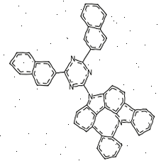 c1ccc2cc(-c3nc(-c4ccc5ccccc5c4)nc(-n4c5cccc6c7ccccc7n7c8ccccc8c8ccc4c(c65)c87)n3)ccc2c1